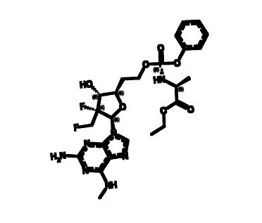 CCOC(=O)[C@H](C)N[P@@](=O)(OCC[C@H]1O[C@@H](n2cnc3c(NC)nc(N)nc32)[C@@](F)(CF)[C@@H]1O)Oc1ccccc1